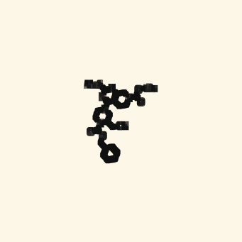 CSc1nc2c(c(N3CCN(C(=O)OCc4ccccc4)C(CC#N)C3)n1)CCN(C(=O)OC(C)(C)C)C2